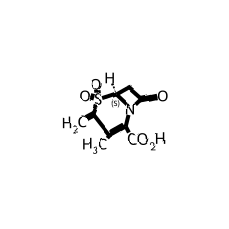 C=C1C(C)=C(C(=O)O)N2C(=O)C[C@@H]2S1(=O)=O